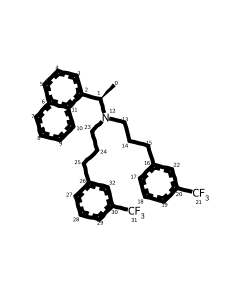 C[C@H](c1cccc2ccccc12)N(CCCc1cccc(C(F)(F)F)c1)CCCc1cccc(C(F)(F)F)c1